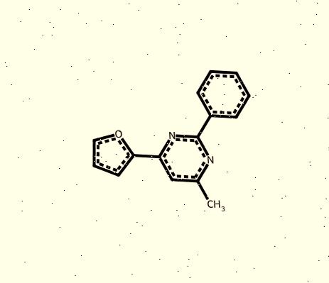 Cc1cc(-c2ccco2)nc(-c2ccccc2)n1